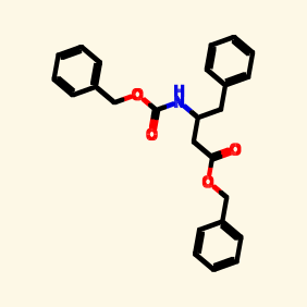 O=C(CC(Cc1ccccc1)NC(=O)OCc1ccccc1)OCc1ccccc1